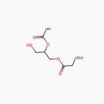 CCCCCCCCCC(=O)OCC(CO)OC(=O)CCC